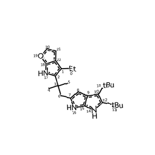 CCc1c(C(C)(C)Cc2cc3c(C(C)(C)C)c(C(C)(C)C)[nH]c3[nH]2)[nH]c2occc12